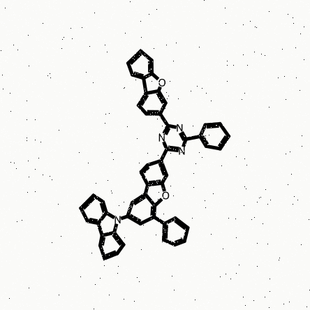 c1ccc(-c2nc(-c3ccc4c(c3)oc3ccccc34)nc(-c3ccc4c(c3)oc3c(-c5ccccc5)cc(-n5c6ccccc6c6ccccc65)cc34)n2)cc1